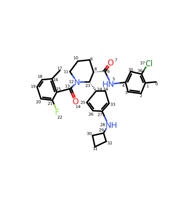 Cc1ccc(NC(=O)[C@H]2CCCN(C(=O)c3c(C)cccc3F)[C@H]2C2C=CC(NC3CCC3)=CC2)cc1Cl